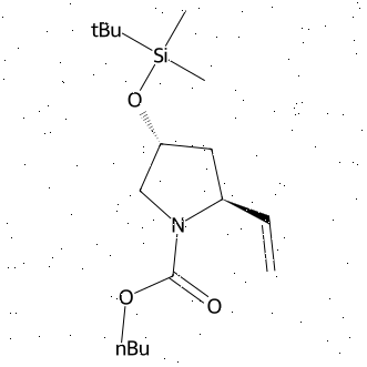 C=C[C@@H]1C[C@@H](O[Si](C)(C)C(C)(C)C)CN1C(=O)OCCCC